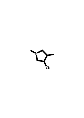 CC1CN(I)CC1C#N